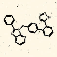 c1ccc(-c2nc3cccnc3n2Cc2ccc(-c3ccccc3-c3nnn[nH]3)cc2)cc1